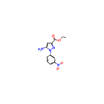 CCOC(=O)c1cc(N)n(-c2cccc([N+](=O)[O-])c2)n1